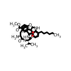 CCCCCCc1cccc2c1NC1Oc3ccc4cc3C21c1oc(nc1-c1nc(C(=O)OC)co1)[C@H](C(C)C)NC(=O)[C@@H](N)C4